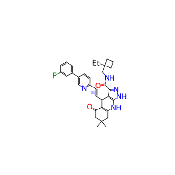 CCC1(CNC(=O)c2n[nH]c3c2C(/C=C/c2ccc(-c4cccc(F)c4)cn2)C2=C(CC(C)(C)CC2=O)N3)CCC1